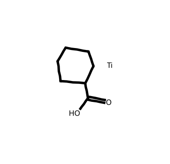 O=C(O)C1CCCCC1.[Ti]